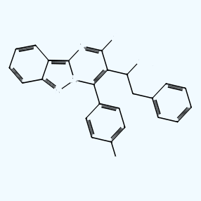 Cc1ccc(-c2c(C(Cc3ccccc3)C(=O)O)c(C)nc3c4ccccc4nn23)cc1